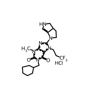 Cl.Cn1c(=O)n(CC2CCCCC2)c(=O)c2c1nc(N1CCC3CNC=C31)n2CCC(F)(F)F